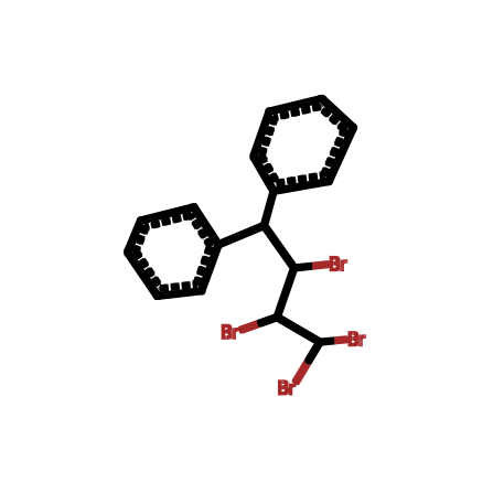 BrC(Br)C(Br)C(Br)C(c1ccccc1)c1ccccc1